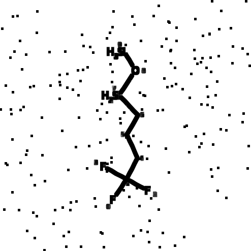 FC(F)(F)CCC[SiH2]O[SiH3]